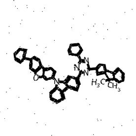 CC1(C)c2ccccc2-c2ccc(-c3nc(-c4ccccc4)nc(-c4ccc5c6ccccc6n(-c6ccc7c(c6)oc6cc(-c8ccccc8)ccc67)c5c4)n3)cc21